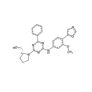 COc1cc(Nc2nc(-c3ccccc3)nc(N3CCC[C@@H]3CO)n2)ccc1-c1cnco1